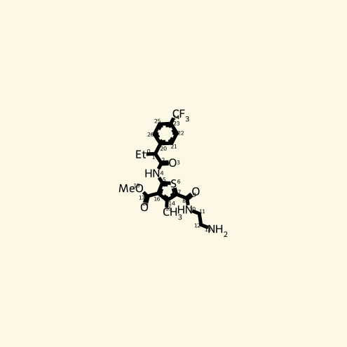 CCC(C(=O)Nc1sc(C(=O)NCCN)c(C)c1C(=O)OC)c1ccc(C(F)(F)F)cc1